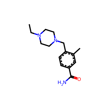 CCN1CCN(Cc2ccc(C(N)=O)cc2C)CC1